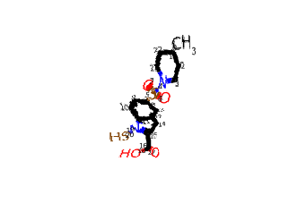 CC1CCN(S(=O)(=O)c2ccc3c(c2)cc(C(=O)O)n3S)CC1